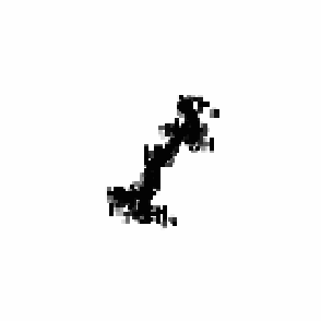 Cc1ncsc1-c1ccc(CNC(=O)[C@@H]2C[C@@H](O)CN2C(=O)[C@@H](NC(=O)CCOCCNC(=O)CCC(=O)N2CCN(c3ncc(-c4cc(NC(=O)c5c[nH]c(=O)cc5C(F)(F)F)c(N5C[C@@H](C)N(C)[C@@H](C)C5)cc4F)cn3)CC2)C(C)(C)C)cc1